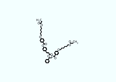 C=CC(=O)OCCCCCCOc1ccc(C(=O)OCC(OC(=O)/C=C/c2ccc(OC(=O)c3ccc(OCCCCCCOC(=O)C=C)cc3)cc2)c2ccccc2)cc1